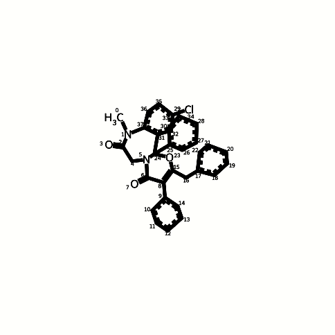 CN1C(=O)CN2C(=O)C(c3ccccc3)=C(Cc3ccccc3)OC2(c2ccccc2)c2cc(Cl)ccc21